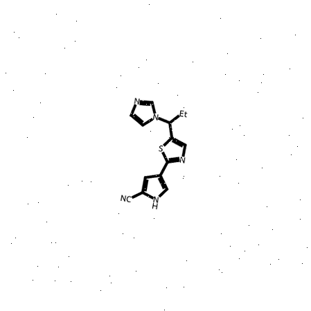 CCC(c1cnc(-c2c[nH]c(C#N)c2)s1)n1ccnc1